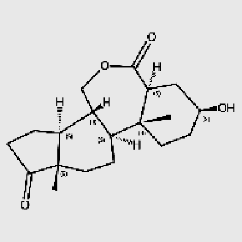 C[C@]12CC[C@H](O)C[C@@H]1C(=O)OC[C@@H]1[C@@H]2CC[C@]2(C)C(=O)CC[C@@H]12